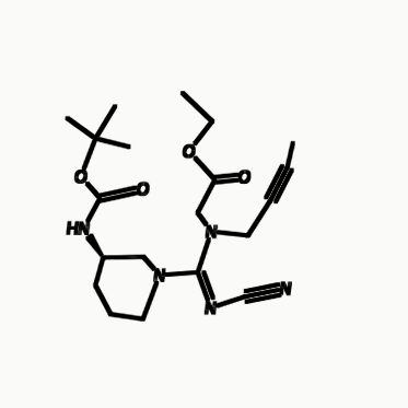 CC#CCN(CC(=O)OCC)/C(=N\C#N)N1CCC[C@@H](NC(=O)OC(C)(C)C)C1